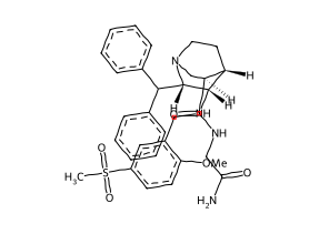 COc1ccc(S(C)(=O)=O)cc1CN[C@H]1[C@H]2CCN(C[C@@H]2C(=O)NCC(N)=O)[C@H]1C(c1ccccc1)c1ccccc1